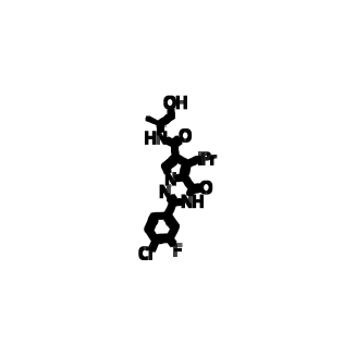 CC(C)c1c(C(=O)N[C@@H](C)CO)cn2nc(-c3ccc(Cl)c(F)c3)[nH]c(=O)c12